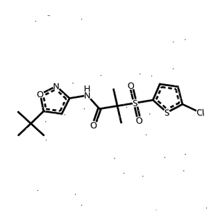 CC(C)(C)c1cc(NC(=O)C(C)(C)S(=O)(=O)c2ccc(Cl)s2)no1